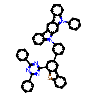 c1ccc(-c2nc(-c3ccccc3)nc(-c3cc(-c4cccc(-n5c6ccccc6c6cc7c8ccccc8n(-c8ccccc8)c7cc65)c4)cc4c3sc3ccccc34)n2)cc1